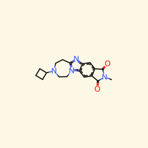 CN1C(=O)c2cc3nc4n(c3cc2C1=O)CCN(C1CCC1)CC4